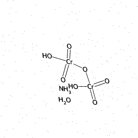 N.O.[O]=[Cr](=[O])([OH])[O][Cr](=[O])(=[O])[OH]